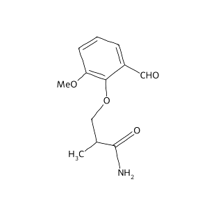 COc1cccc(C=O)c1OCC(C)C(N)=O